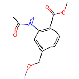 COC(=O)c1ccc(COI)cc1NC(C)=O